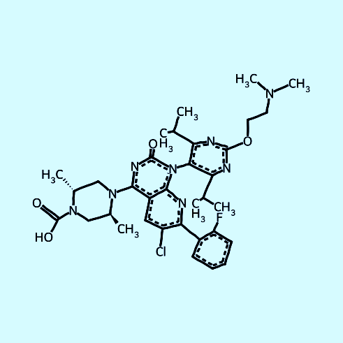 CC(C)c1nc(OCCN(C)C)nc(C(C)C)c1-n1c(=O)nc(N2C[C@@H](C)N(C(=O)O)C[C@@H]2C)c2cc(Cl)c(-c3ccccc3F)nc21